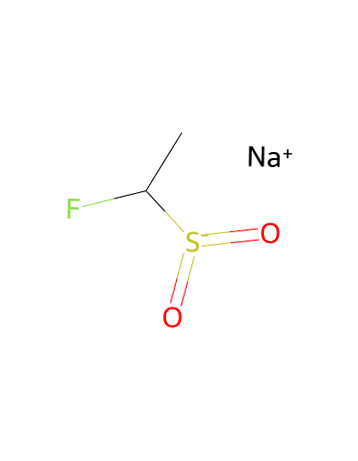 CC(F)[S-](=O)=O.[Na+]